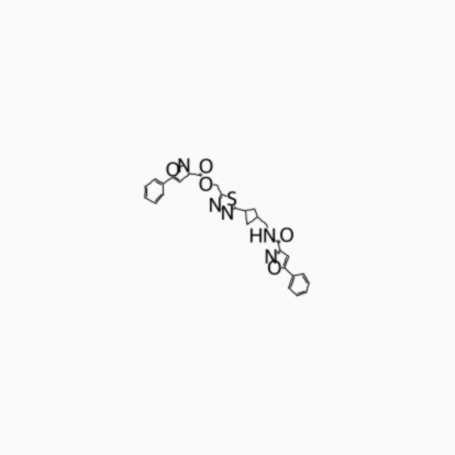 O=C(NCC1CC(c2nnc(COC(=O)c3cc(-c4ccccc4)on3)s2)C1)c1cc(-c2ccccc2)on1